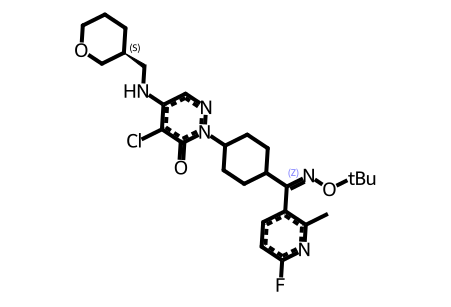 Cc1nc(F)ccc1/C(=N\OC(C)(C)C)C1CCC(n2ncc(NC[C@@H]3CCCOC3)c(Cl)c2=O)CC1